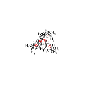 CC[Si]1(C(C)OC(C)(C)C)O[Si](CC)(C(C)OC(C)(C)C)O[Si](CC)(C(C)OC(C)(C)C)O1